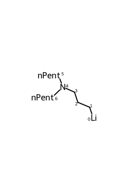 [Li][CH2]CCN(CCCCC)CCCCC